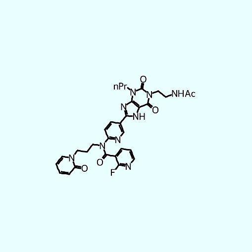 CCCn1c(=O)n(CCNC(C)=O)c(=O)c2[nH]c(-c3ccc(N(CCCn4ccccc4=O)C(=O)c4cccnc4F)nc3)nc21